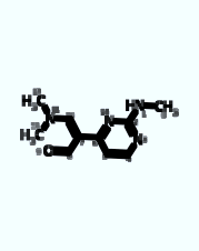 CNc1nccc(C(C=O)=CN(C)C)n1